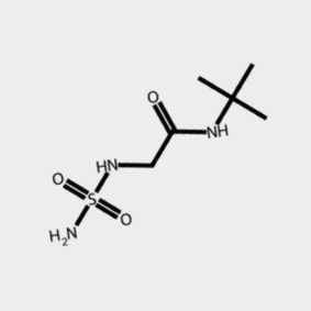 CC(C)(C)NC(=O)CNS(N)(=O)=O